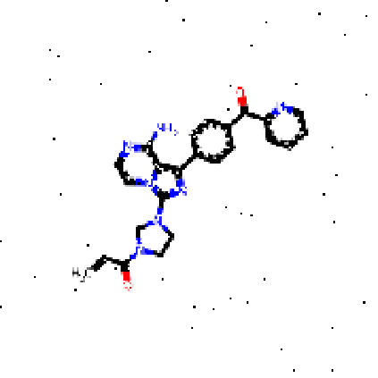 C=CC(=O)N1CCN(c2nc(-c3ccc(C(=O)c4ccccn4)cc3)c3c(N)nccn23)C1